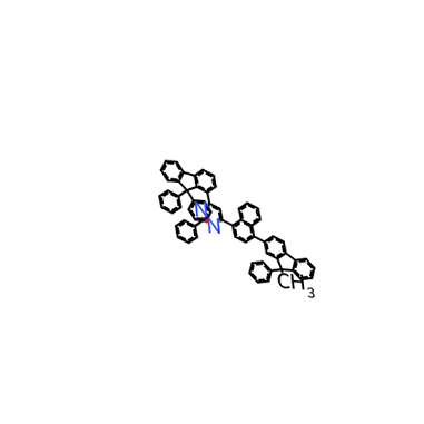 CC1(c2ccccc2)c2ccccc2-c2ccc(-c3ccc(-c4cc(-c5cccc6c5C(c5ccccc5)(c5ccccc5)c5ccccc5-6)nc(-c5ccccc5)n4)c4ccccc34)cc21